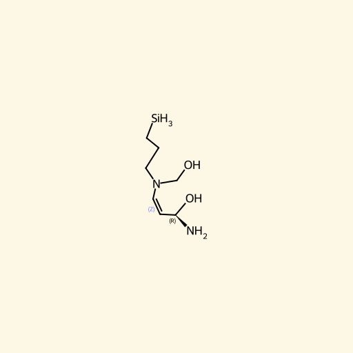 N[C@H](O)/C=C\N(CO)CCC[SiH3]